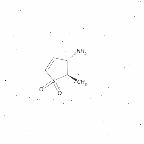 C[C@@H]1[C@@H](N)C=CS1(=O)=O